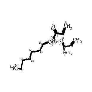 C=CC(N)=O.C=CC(N)=O.OCCCCCCO